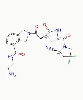 N#C[C@@H]1CC(F)(F)CN1C(=O)[C@@H]1C[C@@H](CC(=O)N2Cc3cccc(C(=O)NCCN)c3C2)C(=O)N1